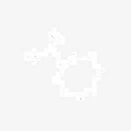 NC(N)C1=CCCCCCC1